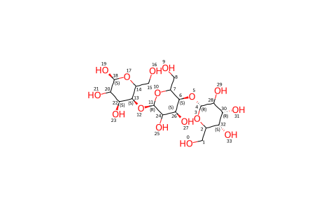 OCC1O[C@H](O[C@@H]2C(CO)O[C@H](O[C@@H]3C(CO)O[C@H](O)C(O)[C@@H]3O)C(O)[C@@H]2O)C(O)[C@H](O)[C@@H]1O